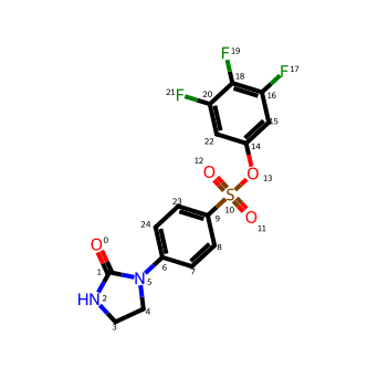 O=C1NCCN1c1ccc(S(=O)(=O)Oc2cc(F)c(F)c(F)c2)cc1